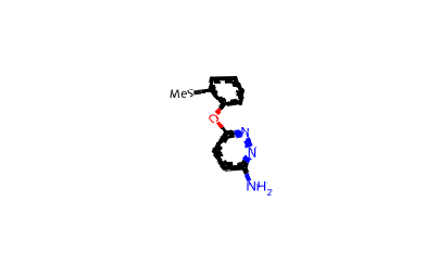 CSc1ccccc1Oc1ccc(N)nn1